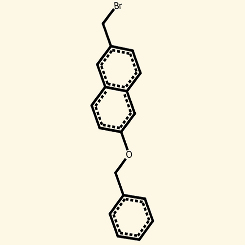 BrCc1ccc2cc(OCc3ccccc3)ccc2c1